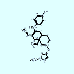 Cn1ncc(SN2CCC3CC(Nc4ccc(F)cc4)=C(C=N)CC3(C=O)C2)n1